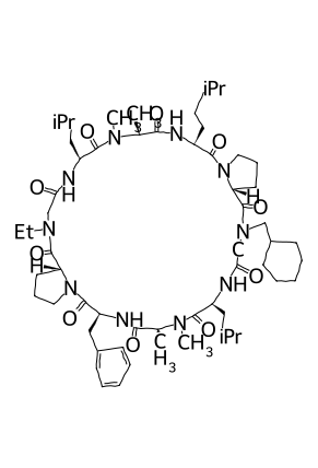 CCN1CC(=O)N[C@@H](CC(C)C)C(=O)N(C)[C@@H](C)C(=O)N[C@@H](CCC(C)C)C(=O)N2CCC[C@@H]2C(=O)N(CC2CCCCC2)CC(=O)N[C@@H](CC(C)C)C(=O)N(C)[C@@H](C)C(=O)N[C@@H](Cc2ccccc2)C(=O)N2CCC[C@@H]2C1=O